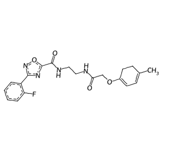 CC1=CC=C(OCC(=O)NCCNC(=O)c2nc(-c3ccccc3F)no2)CC1